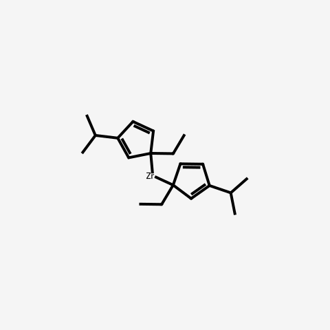 CC[C]1([Zr][C]2(CC)C=CC(C(C)C)=C2)C=CC(C(C)C)=C1